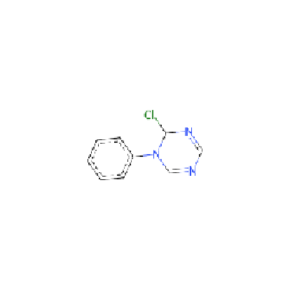 ClC1N=CN=CN1c1ccccc1